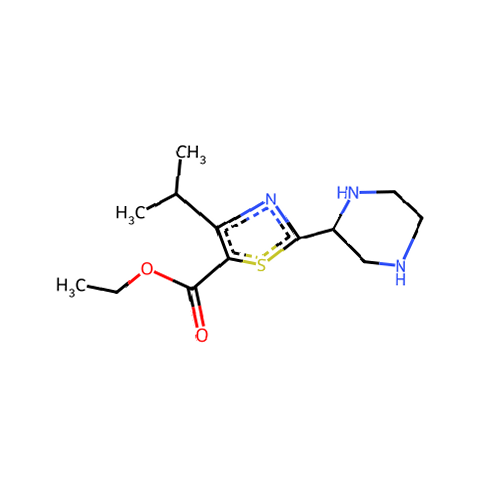 CCOC(=O)c1sc(C2CNCCN2)nc1C(C)C